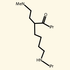 CNCCC(CCCCNC(C)C)C(=O)C(C)C